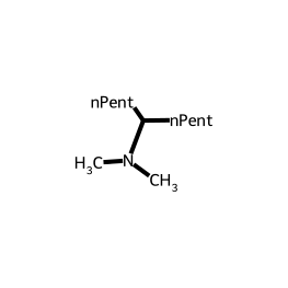 CCCCCC(CCCCC)N(C)C